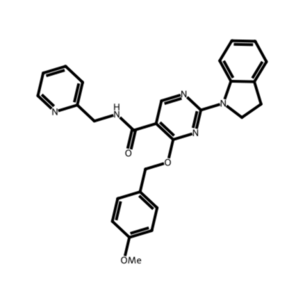 COc1ccc(COc2nc(N3CCc4ccccc43)ncc2C(=O)NCc2ccccn2)cc1